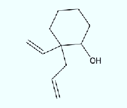 C=CCC1(C=C)CCCCC1O